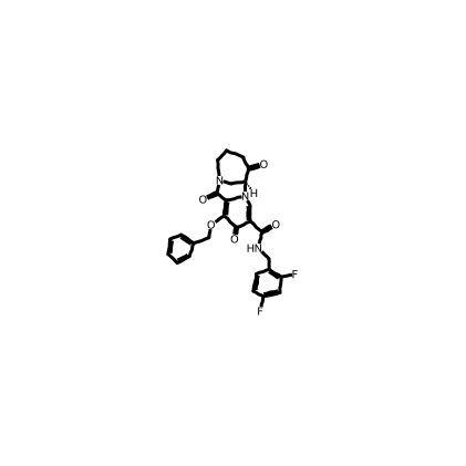 O=C(NCc1ccc(F)cc1F)c1cn2c(c(OCc3ccccc3)c1=O)C(=O)N1CCCC(=O)[C@@H]2C1